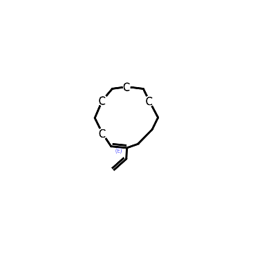 C=C/C1=C/CCCCCCCCCC1